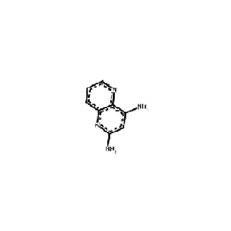 Nc1cc(N)c2ncccc2n1